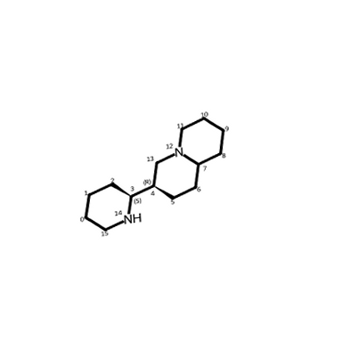 C1CC[C@@H]([C@@H]2CCC3CCCCN3C2)NC1